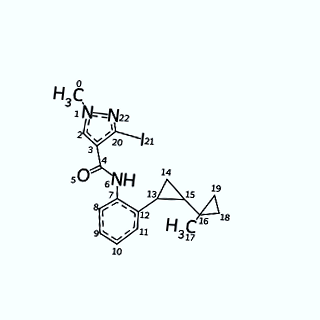 Cn1cc(C(=O)Nc2ccccc2C2CC2C2(C)CC2)c(I)n1